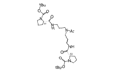 CC(=O)N(CCCNC(=O)[C@@H]1CCCN1C(=O)OC(C)(C)C)CCCNC(=O)[C@@H]1CCCN1C(=O)OC(C)(C)C